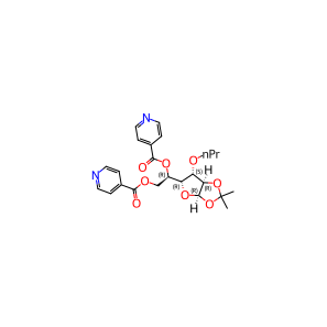 CCCO[C@@H]1[C@H]2OC(C)(C)O[C@H]2O[C@@H]1[C@@H](COC(=O)c1ccncc1)OC(=O)c1ccncc1